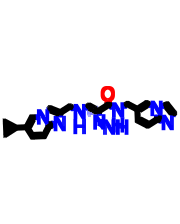 N=N/C(=C\NCc1cn2cc(C3CC3)ccc2n1)C(=O)NCc1ccc2nccn2c1